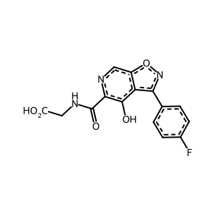 O=C(O)CNC(=O)c1ncc2onc(-c3ccc(F)cc3)c2c1O